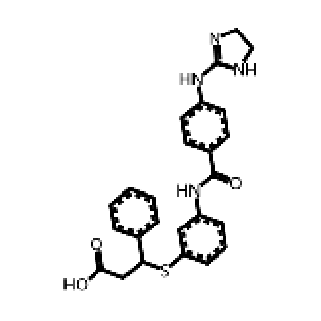 O=C(O)CC(Sc1cccc(NC(=O)c2ccc(NC3=NCCN3)cc2)c1)c1ccccc1